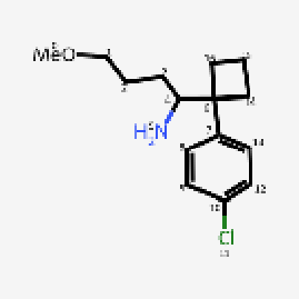 COCCCC(N)C1(c2ccc(Cl)cc2)CCC1